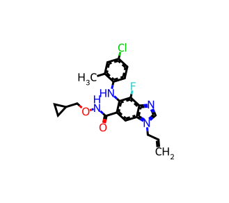 C=CCn1cnc2c(F)c(Nc3ccc(Cl)cc3C)c(C(=O)NOCC3CC3)cc21